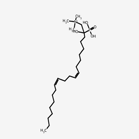 CCCCCCCC/C=C\CC/C=C\CCCCCCC(O)(C[N+](C)(C)C)P(=O)(O)O